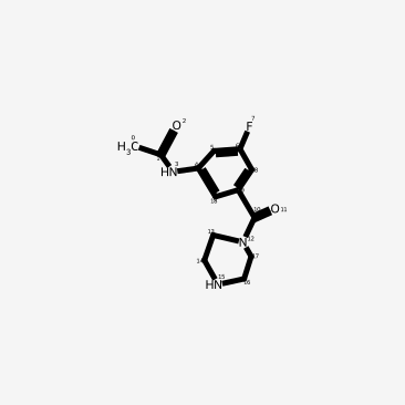 CC(=O)Nc1cc(F)cc(C(=O)N2CCNCC2)c1